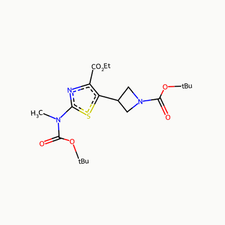 CCOC(=O)c1nc(N(C)C(=O)OC(C)(C)C)sc1C1CN(C(=O)OC(C)(C)C)C1